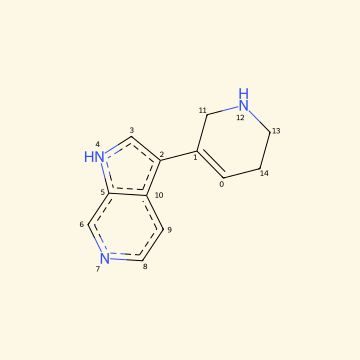 C1=C(c2c[nH]c3cnccc23)CNCC1